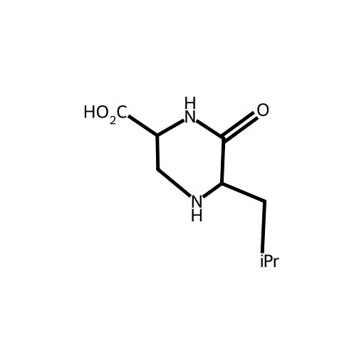 CC(C)CC1NCC(C(=O)O)NC1=O